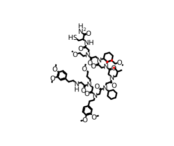 COCCCN(CC(=O)N(CCc1ccc(OC)c(OC)c1)CC(=O)N(CC(=O)N(CC(=O)N(CCCOC)CC(=O)N(CC(=O)N(CCOC)CC(=O)NC(CS)C(N)=O)C1CCCCC1)CC(C)C)C1CCCCC1)C(=O)CNCCc1ccc(OC)c(OC)c1